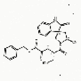 CC(C)(C)C[C@H](NC(=O)C(=O)OCc1ccccc1)C(=O)N1C[C@]2(C[C@H]1C#N)C(=O)Nc1ccccc12